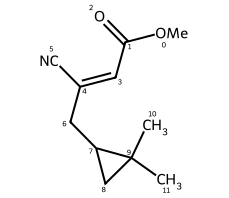 COC(=O)C=C(C#N)CC1CC1(C)C